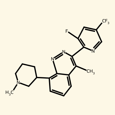 Cc1c(-c2ncc(C(F)(F)F)cc2F)nnc2c(C3CCCN(C)C3)cccc12